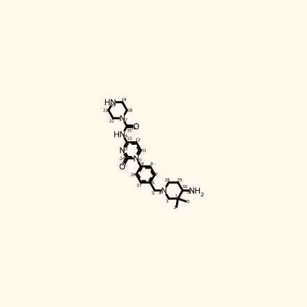 CC1(C)CN(Cc2ccc(-n3ccc(NC(=O)N4CCNCC4)nc3=O)cc2)CCC1N